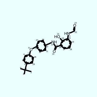 CC(C)(C)c1ccc(Oc2ccc(NC(=O)c3cccc(NC=O)c3O)cc2)cc1